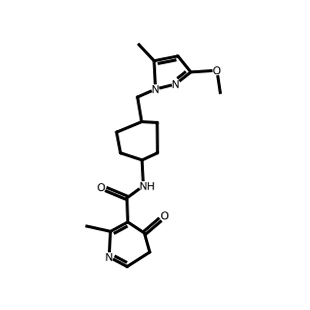 COc1cc(C)n(CC2CCC(NC(=O)C3=C(C)N=CCC3=O)CC2)n1